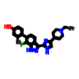 CCc1cc(O)ccc1-c1ccc2c(-c3nc(C4=CCN(CC(C)C)CC4)c[nH]3)n[nH]c2c1F